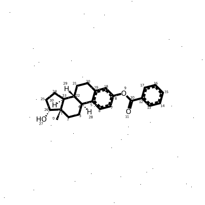 C[C@]12CC[C@@H]3c4ccc(OC(=O)c5ccccc5)cc4CC[C@H]3[C@@H]1CC[C@H]2O